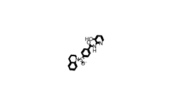 O=C(Nc1ncccc1O)c1ccc([S+]([O-])N2CCCc3ccccc32)cc1